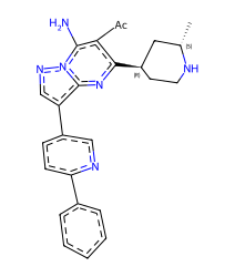 CC(=O)c1c([C@@H]2CCN[C@@H](C)C2)nc2c(-c3ccc(-c4ccccc4)nc3)cnn2c1N